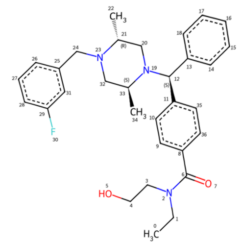 CCN(CCO)C(=O)c1ccc([C@H](c2ccccc2)N2C[C@@H](C)N(Cc3cccc(F)c3)C[C@@H]2C)cc1